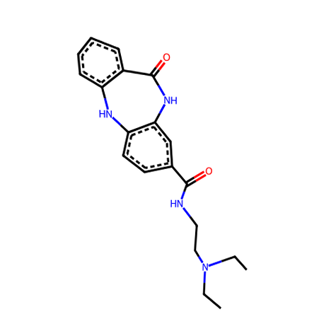 CCN(CC)CCNC(=O)c1ccc2c(c1)NC(=O)c1ccccc1N2